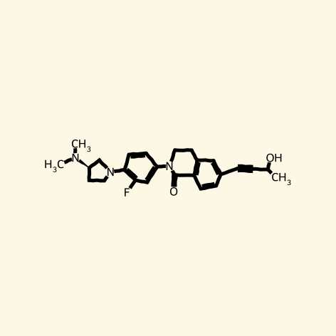 CC(O)C#Cc1ccc2c(c1)CCN(c1ccc(N3CC[C@@H](N(C)C)C3)c(F)c1)C2=O